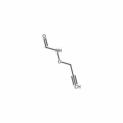 C#CCON[C]=O